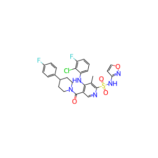 Cc1c(S(=O)(=O)Nc2ccon2)ncc(C(=O)N2CCC(c3ccc(F)cc3)CC2)c1Nc1cccc(F)c1Cl